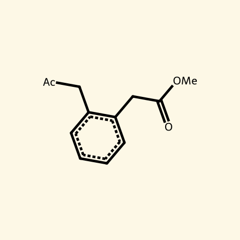 COC(=O)Cc1ccccc1CC(C)=O